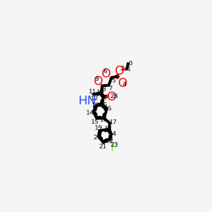 CCOC(=O)C(=O)CC(=O)c1c[nH]c2ccc(Cc3cccc(F)c3)cc2c1=O